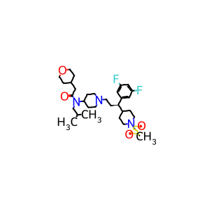 CC(C)CN(C(=O)CC1CCOCC1)C1CCN(CC[C@@H](c2cc(F)cc(F)c2)C2CCN(S(C)(=O)=O)CC2)CC1